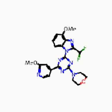 COc1cc(-c2nc(N3CCOCC3)nc(-n3c(C(F)F)nc4c(OC)cccc43)n2)ccn1